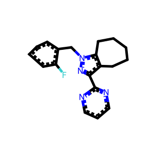 Fc1ccccc1Cn1nc(-c2ncccn2)c2c1CCCCC2